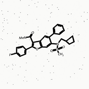 CNC(=O)c1c(-c2ccc(F)cc2)oc2cc(N(CC3CCC3)S(C)(=O)=O)c(-c3ccccc3)cc12